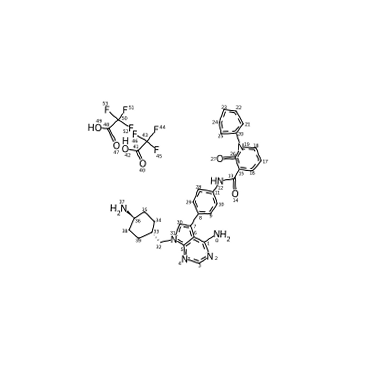 Nc1ncnc2c1c(-c1ccc(NC(=O)c3cccn(-c4ccccc4)c3=O)cc1)cn2C[C@H]1CC[C@H](N)CC1.O=C(O)C(F)(F)F.O=C(O)C(F)(F)F